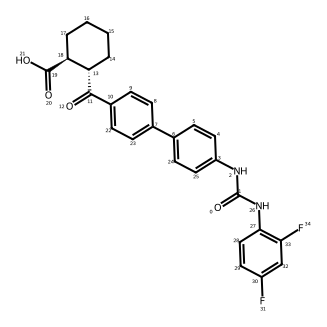 O=C(Nc1ccc(-c2ccc(C(=O)[C@H]3CCCC[C@@H]3C(=O)O)cc2)cc1)Nc1ccc(F)cc1F